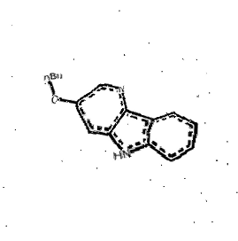 CCCCOc1cnc2c(c1)[nH]c1ccccc12